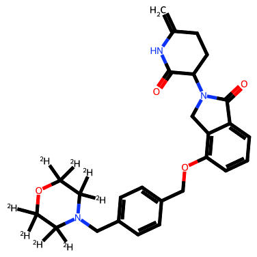 [2H]C1([2H])OC([2H])([2H])C([2H])([2H])N(Cc2ccc(COc3cccc4c3CN(C3CCC(=C)NC3=O)C4=O)cc2)C1([2H])[2H]